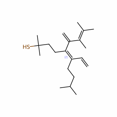 C=C/C(CCC(C)C)=C(/CCC(C)(C)S)C(=C)C(C)=C(C)C